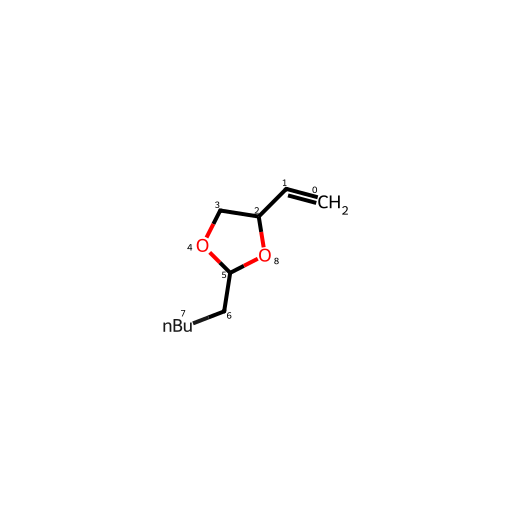 C=CC1COC(CCCCC)O1